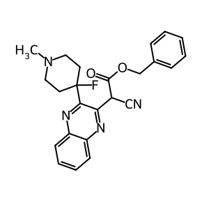 CN1CCC(F)(c2nc3ccccc3nc2C(C#N)C(=O)OCc2ccccc2)CC1